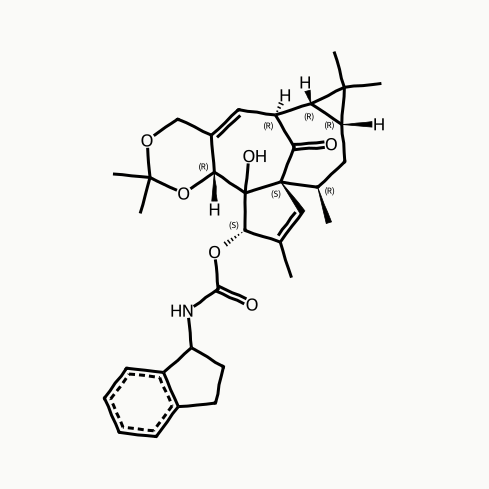 CC1=C[C@]23C(=O)[C@@H](C=C4COC(C)(C)O[C@H]4C2(O)[C@H]1OC(=O)NC1CCc2ccccc21)[C@H]1[C@@H](C[C@H]3C)C1(C)C